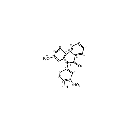 O=C(Nc1ccc(O)c([N+](=O)[O-])c1)c1ccccc1-c1ccc(C(F)(F)F)cc1